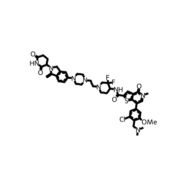 C=C1c2ccc(N3CCN(CCN4CCC(NC(=O)c5cc6c(=O)n(C)cc(-c7cc(Cl)c(CN(C)C)c(OC)c7)c6s5)C(F)(F)C4)CC3)cc2CN1C1CCC(=O)NC1=O